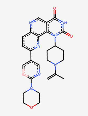 C=C(C)N1CCC(n2c(=O)[nH]c(=O)c3cnc4ccc(-c5cbc(N6CCOCC6)nc5)nc4c32)CC1